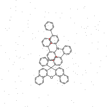 c1ccc(-c2ccc(N(c3ccccc3-c3ccccc3)c3ccccc3-c3ccc4c(c3)-c3ccccc3C43c4ccc5ccccc5c4Oc4c3ccc3ccccc43)cc2)cc1